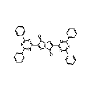 O=c1c(-c2nc(-c3ccccc3)nc(-c3ccccc3)n2)cc2c(=O)c(-c3nc(-c4ccccc4)nc(-c4ccccc4)n3)cc1=2